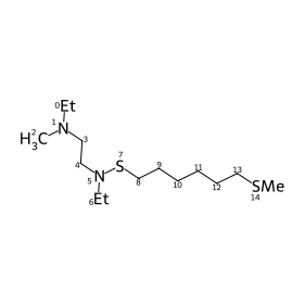 CCN(C)CCN(CC)SCCCCCCSC